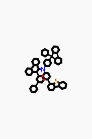 c1ccc(-c2cccc(-c3c(N(c4ccc(-c5cccc6c5sc5ccccc56)cc4)c4ccc(C5(c6ccccc6)c6ccccc6-c6ccccc65)cc4)c4ccccc4c4ccccc34)c2)cc1